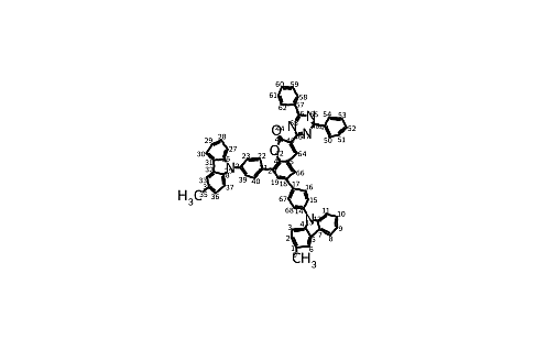 Cc1ccc2c(c1)c1ccccc1n2-c1ccc(-c2cc(-c3ccc(-n4c5ccccc5c5cc(C)ccc54)cc3)c3oc(=O)c(-c4nc(-c5ccccc5)nc(-c5ccccc5)n4)cc3c2)cc1